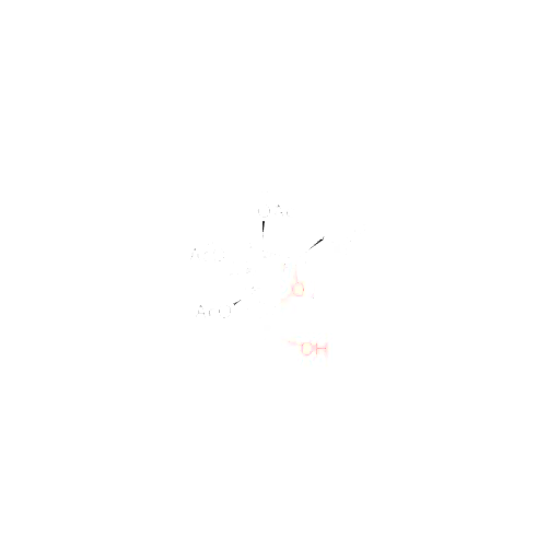 C=CC[C@H]1O[C@H](CO)[C@@H](OC(C)=O)[C@H](OC(C)=O)[C@H]1OC(C)=O